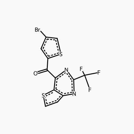 O=C(c1cc(Br)cs1)c1nc(C(F)(F)F)nc2ccsc12